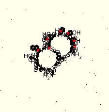 C[C@H](N)C(=O)N[C@H]1CSCCS(=O)(=O)c2cc3cc(c2)S(=O)(=O)CCSC[C@@H](NC(=O)[C@@H](C)NC(=O)[C@H](Cc2cccc4ccccc24)NC(=O)[C@H](CCC(=O)O)NC(=O)[C@H](CC(N)=O)NC(=O)[C@@H](C)NC1=O)C(=O)N[C@@H](CCC(=O)O)C(=O)N[C@@H](CC(=O)O)C(=O)N[C@@H](Cc1ccccc1)C(=O)N[C@@H](Cc1ccc(O)cc1)C(=O)NC(CC(=O)O)C(=O)N[C@@H](C(C)(C)C)C(=O)N[C@H](C(N)=O)CSCCS3(=O)=O